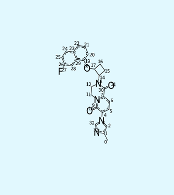 Cc1cn(-c2ccc3n(c2=O)CCN(C2CCC2Oc2cccc4ccc(F)cc24)C3=O)cn1